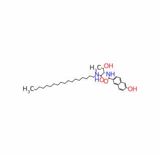 CCCCCCCCCCCCCCCCCCNC(=O)[C@@H](NC(=O)c1ccc2cc(O)ccc2c1)[C@@H](C)O